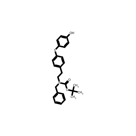 CC(C)(C)OC(=O)N(CCc1ccc(Sc2ccc(O)cc2)cc1)Cc1ccccc1